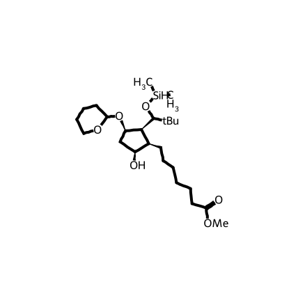 COC(=O)CCCCCC[C@@H]1[C@H](C(O[SiH](C)C)C(C)(C)C)[C@H](OC2CCCCO2)C[C@@H]1O